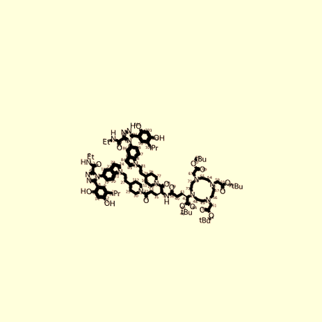 CCNC(=O)c1nnc(-c2cc(C(C)C)c(O)cc2O)n1-c1ccc2c(ccn2CCC2CCN(C(=O)CC[C@H](NC(=O)CC[C@H](C(=O)OC(C)(C)C)N3CCN(CC(=O)OC(C)(C)C)CCN(CC(=O)OC(C)(C)C)CCN(CC(=O)OC(C)(C)C)CC3)C(=O)N3CCC(CCn4ccc5cc(-n6c(C(=O)NCC)nnc6-c6cc(C(C)C)c(O)cc6O)ccc54)CC3)CC2)c1